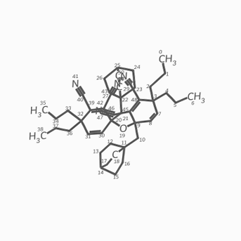 CCCC1(CCC)C=CC(CC23CCC(CC2)CC3)(OC2(CC34CCC(CC3)CC4)C=CC(CCC)(CCC)C(C#N)=C2C#N)C(C#N)=C1C#N